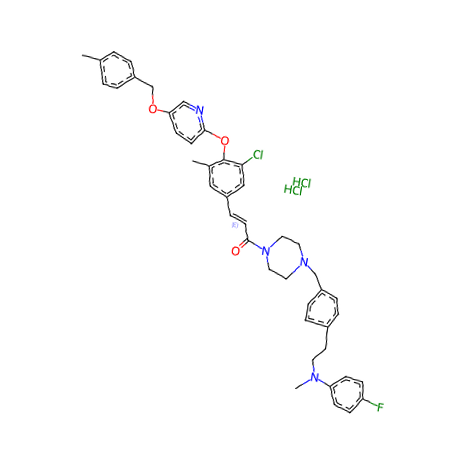 Cc1ccc(COc2ccc(Oc3c(C)cc(/C=C/C(=O)N4CCN(Cc5ccc(CCN(C)c6ccc(F)cc6)cc5)CC4)cc3Cl)nc2)cc1.Cl.Cl